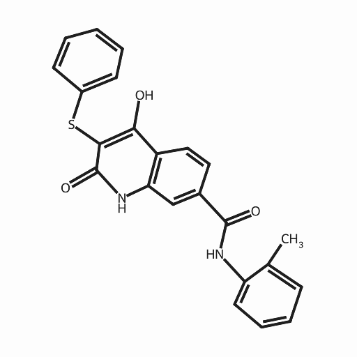 Cc1ccccc1NC(=O)c1ccc2c(O)c(Sc3ccccc3)c(=O)[nH]c2c1